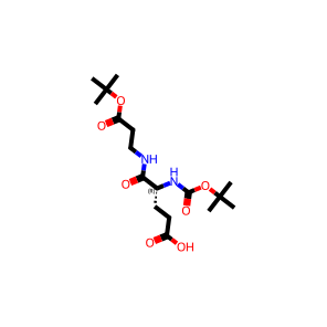 CC(C)(C)OC(=O)CCNC(=O)[C@@H](CCC(=O)O)NC(=O)OC(C)(C)C